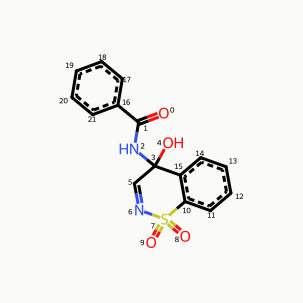 O=C(NC1(O)C=NS(=O)(=O)c2ccccc21)c1ccccc1